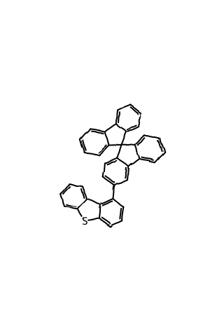 c1ccc2c(c1)-c1ccccc1C21c2ccccc2-c2cc(-c3cccc4sc5ccccc5c34)ccc21